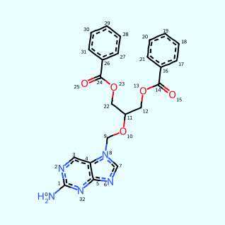 Nc1ncc2c(ncn2COC(COC(=O)c2ccccc2)COC(=O)c2ccccc2)n1